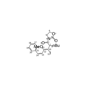 CCCCC(C(=O)N1CCOC1=O)/C(I)=C(/C=C\c1ccccc1)OC